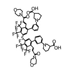 O=C(O)C1CCCN(c2cccc(-c3cc(Sc4cc(-c5cccc(N6CCC[C@H](C(=O)O)C6)c5)c(/C=C/C(=O)N5CCOCC5)c(C(F)(F)F)c4C(F)(F)F)c(C(F)(F)F)c(C(F)(F)F)c3/C=C/C(=O)N3CCOCC3)c2)C1